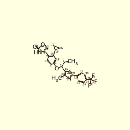 CCC(Oc1ccc(-c2noc(=O)[nH]2)c(C2CC2)c1)c1sc(-c2ccc(C(F)(F)F)cc2)nc1C